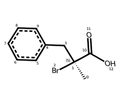 C[C@](Br)(Cc1ccccc1)C(=O)O